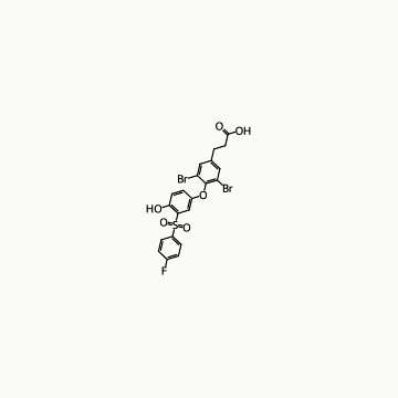 O=C(O)CCc1cc(Br)c(Oc2ccc(O)c(S(=O)(=O)c3ccc(F)cc3)c2)c(Br)c1